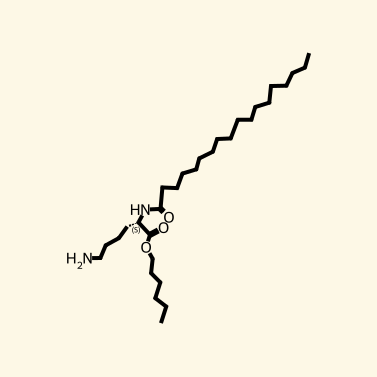 CCCCCCCCCCCCCCCCCC(=O)N[C@@H](CCCCN)C(=O)OCCCCCC